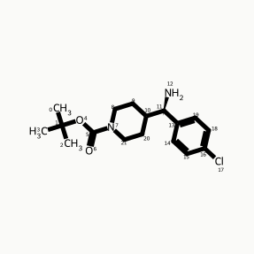 CC(C)(C)OC(=O)N1CCC([C@@H](N)c2ccc(Cl)cc2)CC1